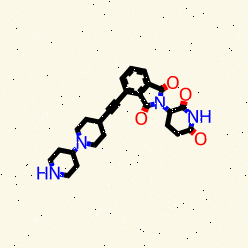 O=C1CCC(N2C(=O)c3cccc(C#CC4CCN(C5CCNCC5)CC4)c3C2=O)C(=O)N1